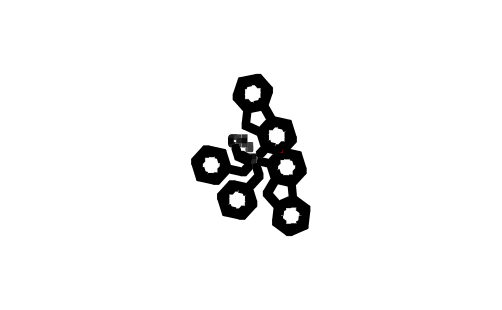 C[CH]=[Ti]([CH2]c1ccccc1)([CH2]c1ccccc1)([c]1cccc2c1Cc1ccccc1-2)[c]1cccc2c1Cc1ccccc1-2